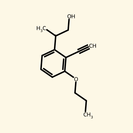 C#Cc1c(OCCC)cccc1[C](C)CO